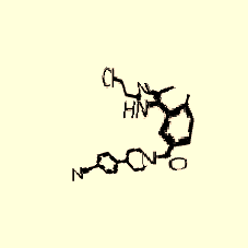 Cc1ccc(C(=O)N2CCC(c3ccc(C#N)cc3)CC2)cc1-c1[nH]c(CCCl)nc1C